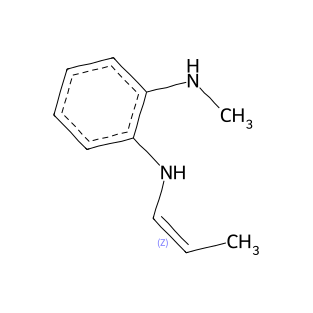 C/C=C\Nc1ccccc1NC